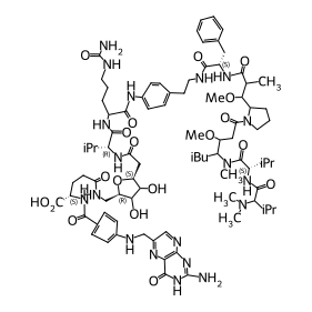 CCC(C)C(C(CC(=O)N1CCCC1C(OC)C(C)C(=O)N[C@@H](Cc1ccccc1)C(=O)NCCc1ccc(NC(=O)C(CCCNC(N)=O)NC(=O)[C@H](NC(=O)C[C@@H]2O[C@H](CNC(=O)CC[C@H](NC(=O)c3ccc(NCc4cnc5nc(N)[nH]c(=O)c5n4)cc3)C(=O)O)C(O)C2O)C(C)C)cc1)OC)N(C)C(=O)[C@@H](NC(=O)C(C(C)C)N(C)C)C(C)C